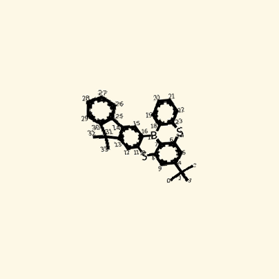 CC(C)(C)c1cc2c3c(c1)Sc1cc4c(cc1B3c1ccccc1S2)-c1ccccc1C4(C)C